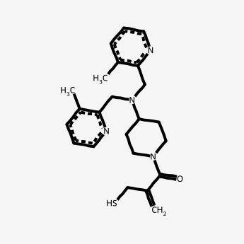 C=C(CS)C(=O)N1CCC(N(Cc2ncccc2C)Cc2ncccc2C)CC1